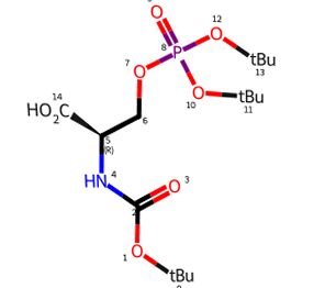 CC(C)(C)OC(=O)N[C@H](COP(=O)(OC(C)(C)C)OC(C)(C)C)C(=O)O